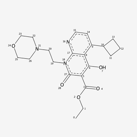 CCOC(=O)c1c(O)c2c(C3CCC3)ccnc2n(CCN2CCOCC2)c1=O